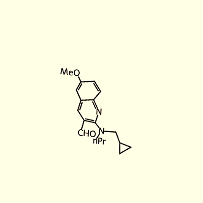 CCCN(CC1CC1)c1nc2ccc(OC)cc2cc1C=O